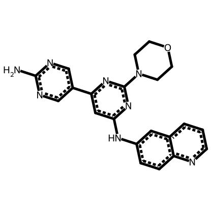 Nc1ncc(-c2cc(Nc3ccc4ncccc4c3)nc(N3CCOCC3)n2)cn1